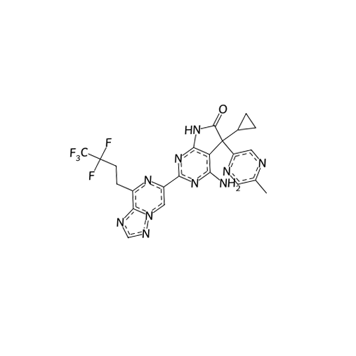 Cc1cnc(C2(C3CC3)C(=O)Nc3nc(-c4cn5ncnc5c(CCC(F)(F)C(F)(F)F)n4)nc(N)c32)cn1